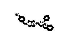 N#Cc1ccc(CN2CC3CN(CCN(Cc4ccccc4)S(=O)(=O)c4ccccc4)CC(C2)O3)cc1